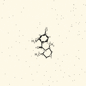 CC1COCC(C)N1C(=O)c1ccc(Cl)cc1N